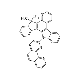 CC1(C)c2ccccc2-c2c1c1ncccc1c1c3ccccc3n(-c3ccc4ccc5cccnc5c4n3)c21